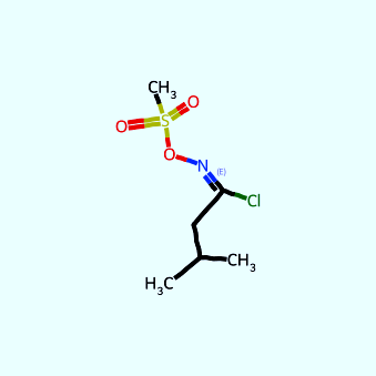 CC(C)C/C(Cl)=N\OS(C)(=O)=O